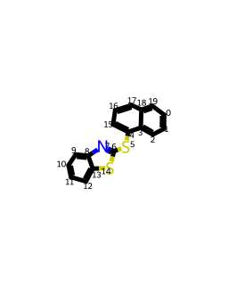 c1ccc2c(Sc3nc4ccccc4s3)cccc2c1